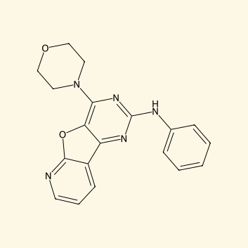 c1ccc(Nc2nc(N3CCOCC3)c3oc4ncccc4c3n2)cc1